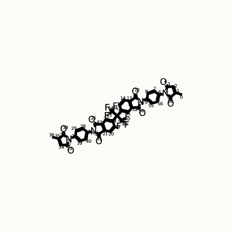 CC1=CC(=O)N(c2ccc(N3C(=O)c4ccc(C(c5ccc6c(c5)C(=O)N(c5ccc(N7C(=O)C=C(C)C7=O)cc5)C6=O)(C(F)(F)F)C(F)(F)F)cc4C3=O)cc2)C1=O